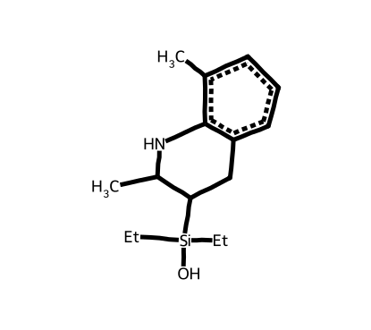 CC[Si](O)(CC)C1Cc2cccc(C)c2NC1C